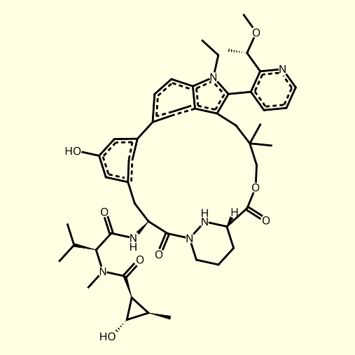 CCn1c(-c2cccnc2[C@H](C)OC)c2c3cc(ccc31)-c1cc(O)cc(c1)C[C@H](NC(=O)[C@H](C(C)C)N(C)C(=O)[C@H]1[C@@H](C)[C@@H]1O)C(=O)N1CCC[C@H](N1)C(=O)OCC(C)(C)C2